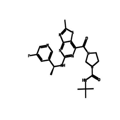 Cc1nc2nc(N[C@@H](C)c3cncc(F)c3)nc(C(=O)N3CCN(C(=O)NC(C)(C)C)C3)c2s1